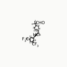 CC(C)(C=O)C1CCN(CC#Cc2cc(C(F)(F)F)cc(C(F)(F)F)c2)CC1.Cl